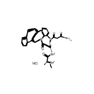 CN[C@@H](C)C(=O)N[C@H]1CN(C(=O)CC(N)=O)c2ccccc2N(Cc2c(C)ccc3ccccc23)C1=O.Cl